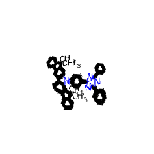 CC1(C)c2ccccc2-c2cc3c4ccc5c(c4n(-c4ccc(-c6nc(-c7ccccc7)nc(-c7ccccc7)n6)cc4)c3cc21)C(C)(C)c1ccccc1-5